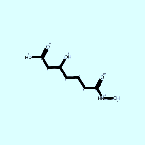 O=C(O)CC(O)CCCC(=O)NO